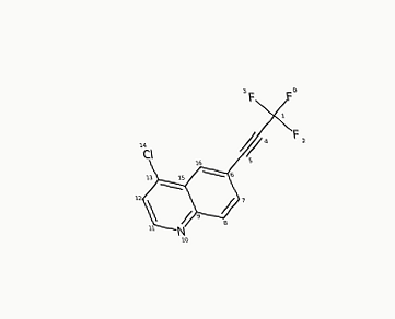 FC(F)(F)C#Cc1ccc2nccc(Cl)c2c1